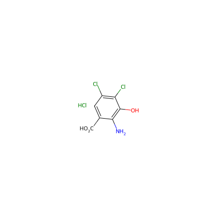 Cl.Nc1c(C(=O)O)cc(Cl)c(Cl)c1O